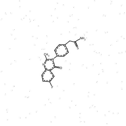 Cc1nc2ccc(F)cc2c(=O)n1-c1ccc(CC(N)=S)cc1